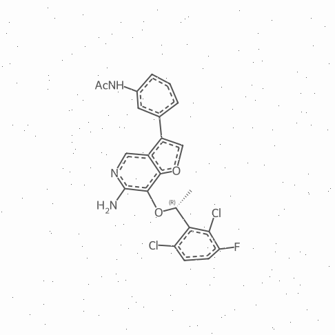 CC(=O)Nc1cccc(-c2coc3c(O[C@H](C)c4c(Cl)ccc(F)c4Cl)c(N)ncc23)c1